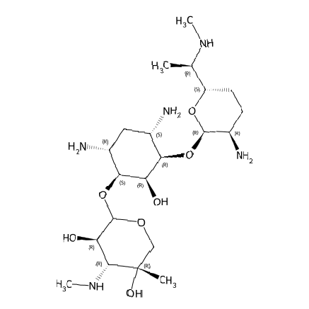 CN[C@@H]1[C@@H](O)C(O[C@@H]2[C@H](O)[C@H](O[C@H]3O[C@H]([C@@H](C)NC)CC[C@H]3N)[C@@H](N)C[C@H]2N)OC[C@]1(C)O